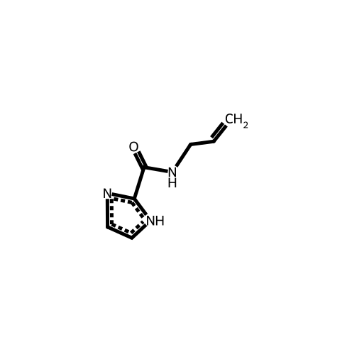 C=CCNC(=O)c1ncc[nH]1